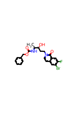 C[C@H](NC(=O)OCc1ccccc1)[C@@H](O)CCn1ccc2cc(Br)c(F)cc2c1=O